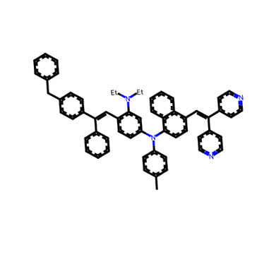 CCN(CC)c1cc(N(c2ccc(C)cc2)c2ccc(C=C(c3ccncc3)c3ccncc3)c3ccccc23)ccc1/C=C(\c1ccccc1)c1ccc(Cc2ccccc2)cc1